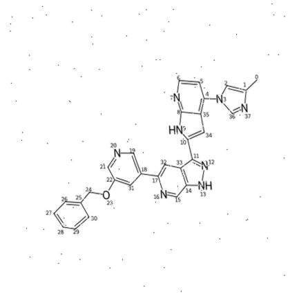 Cc1cn(-c2ccnc3[nH]c(-c4n[nH]c5cnc(-c6cncc(OCc7ccccc7)c6)cc45)cc23)cn1